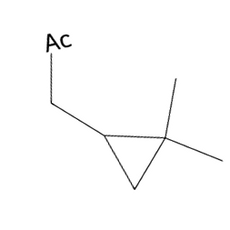 CC(=O)CC1CC1(C)C